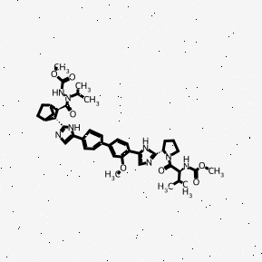 COC(=O)N[C@H](C(=O)N1CCC[C@H]1c1ncc(-c2ccc(-c3ccc(-c4cnc([C@@H]5C6CCC(C6)[C@H]5C(=O)N(NC(=O)OC)C(C)C)[nH]4)cc3)cc2OC)[nH]1)C(C)C